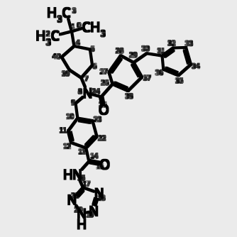 CC(C)(C)C1CCC(N(Cc2ccc(C(=O)Nc3nn[nH]n3)cc2)C(=O)c2ccc(Cc3ccccc3)cc2)CC1